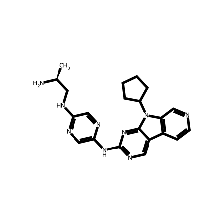 C[C@H](N)CNc1cnc(Nc2ncc3c4ccncc4n(C4CCCC4)c3n2)cn1